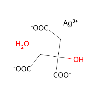 O.O=C([O-])CC(O)(CC(=O)[O-])C(=O)[O-].[Ag+3]